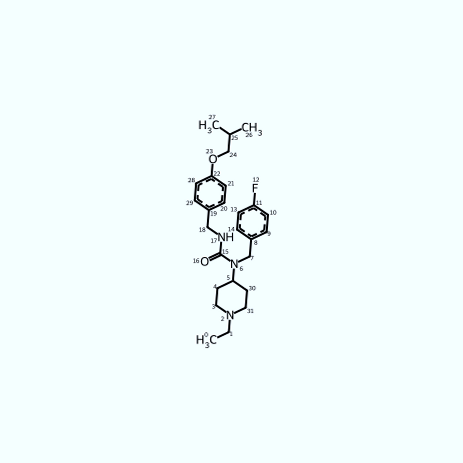 CCN1CCC(N(Cc2ccc(F)cc2)C(=O)NCc2ccc(OCC(C)C)cc2)CC1